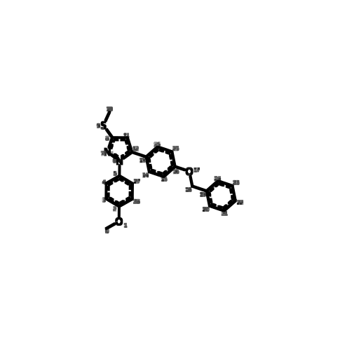 COc1ccc(-n2nc(SC)cc2-c2ccc(OCc3ccccc3)cc2)cc1